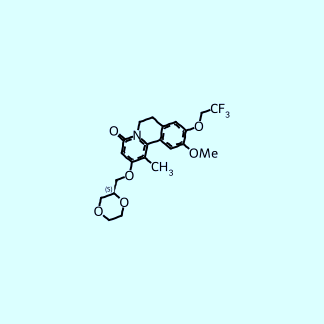 COc1cc2c(cc1OCC(F)(F)F)CCn1c-2c(C)c(OC[C@@H]2COCCO2)cc1=O